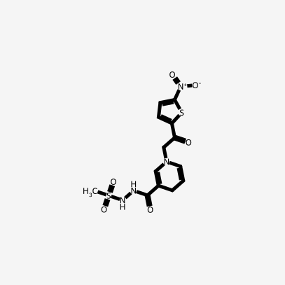 CS(=O)(=O)NNC(=O)C1=CN(CC(=O)c2ccc([N+](=O)[O-])s2)C=CC1